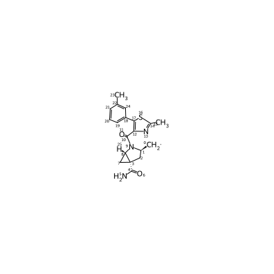 [CH2][C@H]1C[C@@]2(C(N)=O)C[C@@H]2N1C(=O)c1nc(C)sc1-c1cccc(C)c1